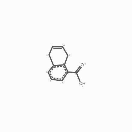 O=C(O)c1cccc2c1CC=CC2